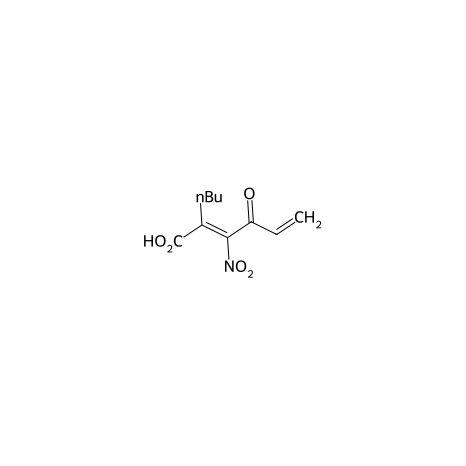 C=CC(=O)C(=C(CCCC)C(=O)O)[N+](=O)[O-]